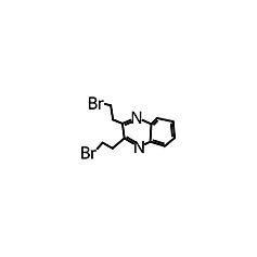 BrCCc1nc2ccccc2nc1CCBr